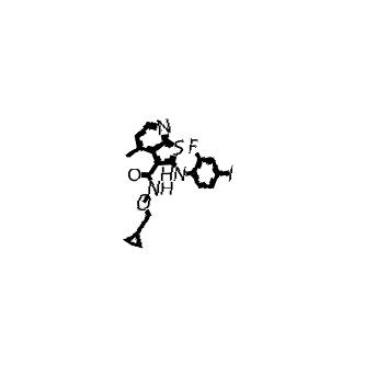 Cc1ccnc2sc(Nc3ccc(I)cc3F)c(C(=O)NOCC3CC3)c12